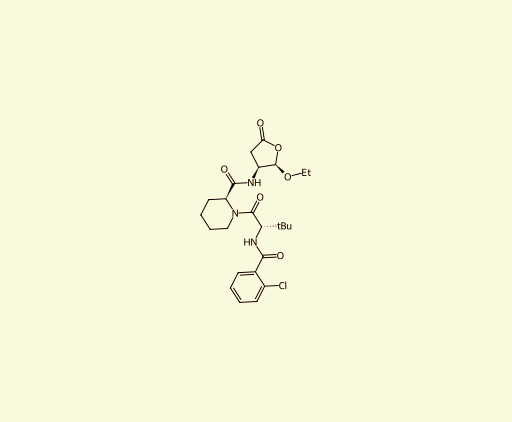 CCO[C@@H]1OC(=O)C[C@@H]1NC(=O)[C@@H]1CCCCN1C(=O)[C@@H](NC(=O)c1ccccc1Cl)C(C)(C)C